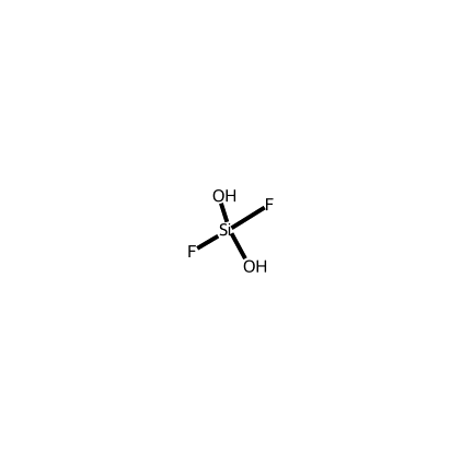 O[Si](O)(F)F